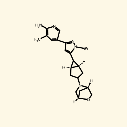 CC(C)n1nc(-c2cnc(N)c(C(F)(F)F)c2)cc1C1[C@H]2CC(N3C[C@@H]4C[C@H]3CO4)C[C@@H]12